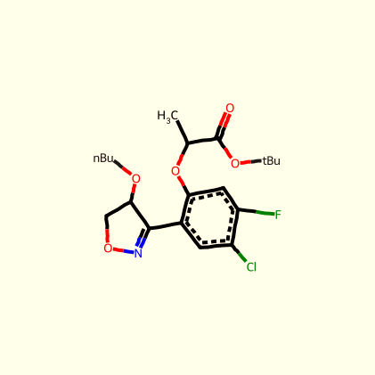 CCCCOC1CON=C1c1cc(Cl)c(F)cc1OC(C)C(=O)OC(C)(C)C